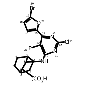 O=C(O)C1C2CCC(CC2)C1Nc1nc(Cl)nc(-c2ccc(Br)o2)c1F